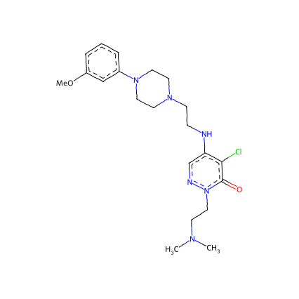 COc1cccc(N2CCN(CCNc3cnn(CCN(C)C)c(=O)c3Cl)CC2)c1